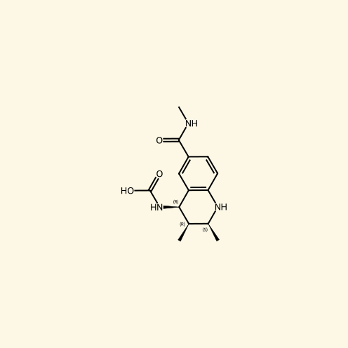 CNC(=O)c1ccc2c(c1)[C@H](NC(=O)O)[C@H](C)[C@H](C)N2